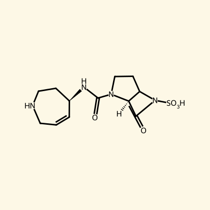 O=C(N[C@H]1C=CCNCC1)N1CCC2[C@H]1C(=O)N2S(=O)(=O)O